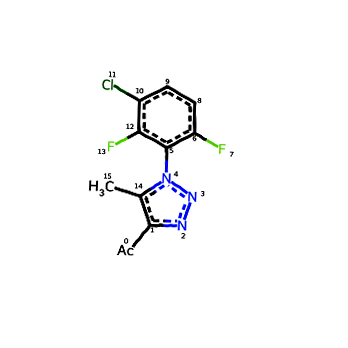 CC(=O)c1nnn(-c2c(F)ccc(Cl)c2F)c1C